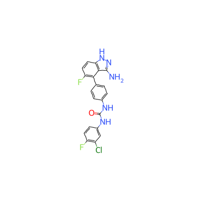 Nc1n[nH]c2ccc(F)c(-c3ccc(NC(=O)Nc4ccc(F)c(Cl)c4)cc3)c12